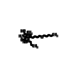 CCCCCOCCCCC(=O)N(NCCC)[C@](N)(C(=O)O)[C@](C)(S)CO